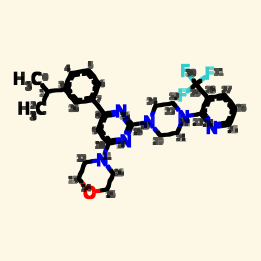 CC(C)c1cccc(-c2cc(N3CCOCC3)nc(N3CCN(c4ncccc4C(F)(F)F)CC3)n2)c1